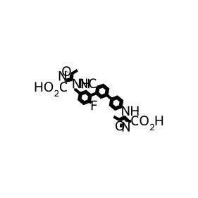 Cc1onc(C(=O)O)c1NCc1ccc(F)c(-c2cc(-c3ccc(Nc4c(C(=O)O)noc4C)cc3)ccc2C#N)c1